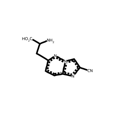 N#Cc1cn2nc(CC(N)C(=O)O)ccc2n1